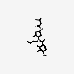 CCCCN(C(C)c1ccc(OC)c(C)c1C)C1CC(NC(=O)CC(C)C)CC1C